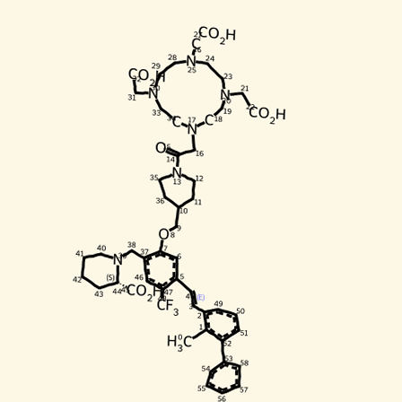 Cc1c(/C=C/c2cc(OCC3CCN(C(=O)CN4CCN(CC(=O)O)CCN(CC(=O)O)CCN(CC(=O)O)CC4)CC3)c(CN3CCCC[C@H]3C(=O)O)cc2C(F)(F)F)cccc1-c1ccccc1